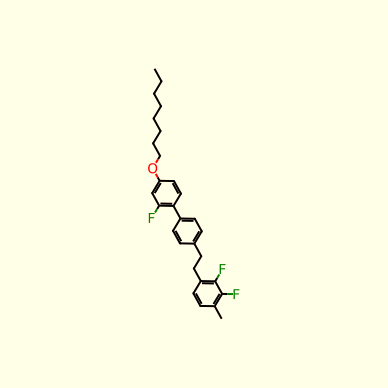 CCCCCCCCOc1ccc(-c2ccc(CCc3ccc(C)c(F)c3F)cc2)c(F)c1